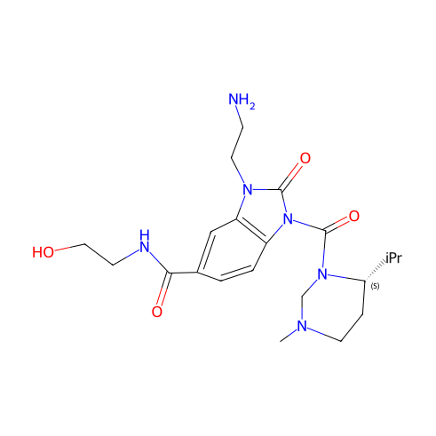 CC(C)[C@@H]1CCN(C)CN1C(=O)n1c(=O)n(CCN)c2cc(C(=O)NCCO)ccc21